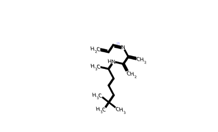 C=C/C=N\C(=C)C(=C)NC(C)CCCC(C)(C)C